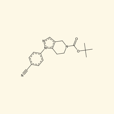 CC(C)(C)OC(=O)N1CCc2c(cnn2-c2ccc(C#N)cc2)C1